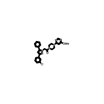 COc1cc(N2CCN(C(=O)Cn3nc(-c4cccc(Cl)c4)cc3-c3ccccc3)CC2)ncn1